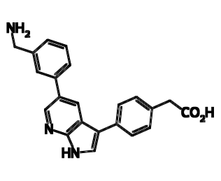 NCc1cccc(-c2cnc3[nH]cc(-c4ccc(CC(=O)O)cc4)c3c2)c1